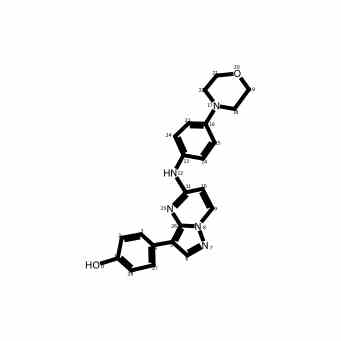 Oc1ccc(-c2cnn3ccc(Nc4ccc(N5CCOCC5)cc4)nc23)cc1